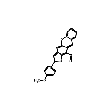 COc1ccc(C2C=c3cc4c(c(C=O)c3O2)=Cc2ccccc2O4)cc1